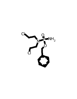 NP(=O)(OCc1ccccc1)N(CCCl)CCCl